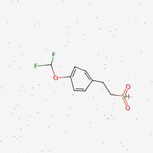 O=[SH](=O)CCc1ccc(OC(F)F)cc1